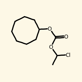 CC(Cl)OC(=O)OC1CCCCCCC1